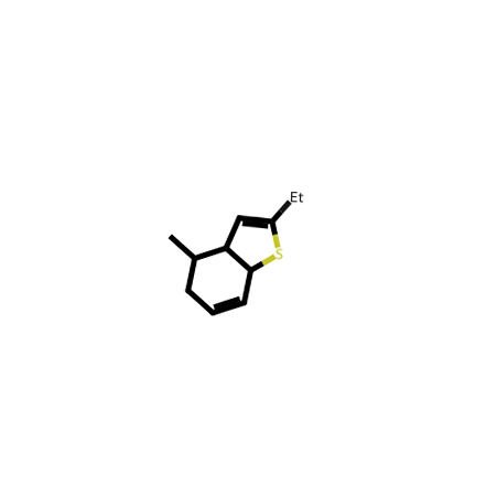 CCC1=CC2C(C)CC=CC2S1